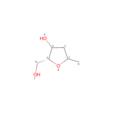 CC1CC(O)[C@@H](CO)O1